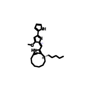 CCCCC[C@@H]1CCCCCCc2cc1c(/C=C1/N=C(c3ccc[nH]3)C=C1OC)[nH]2